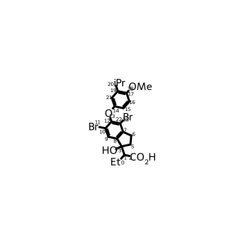 CCC(C(=O)O)C1(O)CCc2c1cc(Br)c(Oc1ccc(OC)c(C(C)C)c1)c2Br